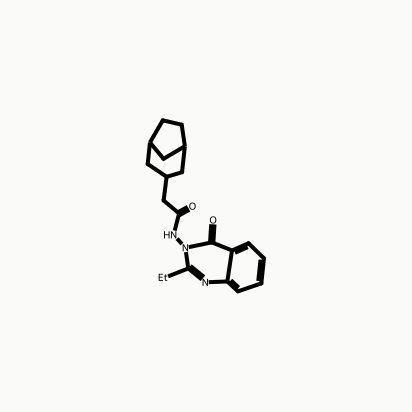 CCc1nc2ccccc2c(=O)n1NC(=O)CC1CC2CCC(C2)C1